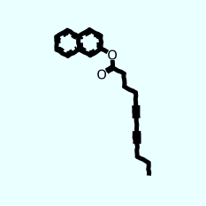 CCCC#CC#CCCCC(=O)Oc1ccc2ccccc2c1